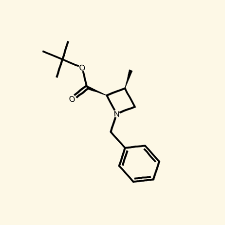 C[C@H]1CN(Cc2ccccc2)[C@H]1C(=O)OC(C)(C)C